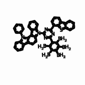 Bc1c(B)c(B)c(-c2nc(-c3cccc4c3sc3ccccc34)nc(-n3c4ccccc4c4c3ccc3c5ccccc5n(-c5ccccc5)c34)n2)c(B)c1B